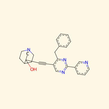 OC1(C#Cc2cnc(-c3cccnc3)nc2Cc2ccccc2)CN2CCC1CC2